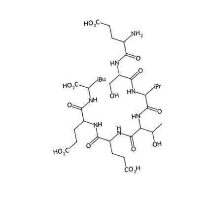 CCC(C)C(NC(=O)C(CCC(=O)O)NC(=O)C(CCC(=O)O)NC(=O)C(NC(=O)C(NC(=O)C(CO)NC(=O)C(N)CCC(=O)O)C(C)C)C(C)O)C(=O)O